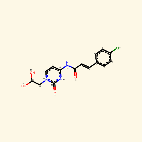 O=C(C=Cc1ccc(Cl)cc1)Nc1ccn(CC(O)O)c(=O)n1